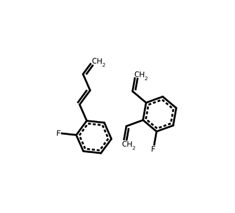 C=CC=Cc1ccccc1F.C=Cc1cccc(F)c1C=C